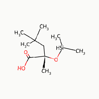 C[SiH](C)O[C@@](C)(CC(C)(C)C)C(=O)O